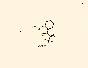 CCOC(=O)C1CCCCN1C(=O)C(=O)C(C)(C)COC(C)=O